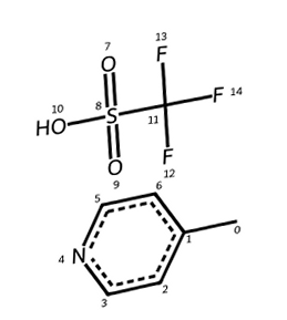 Cc1ccncc1.O=S(=O)(O)C(F)(F)F